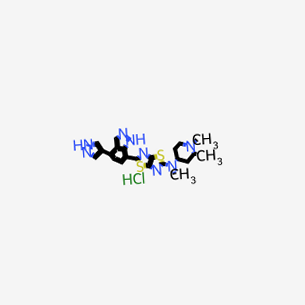 CC1CC(N(C)c2nc3sc(-c4ccc(-c5cn[nH]c5)c5cn[nH]c45)nc3s2)CCN1C.Cl